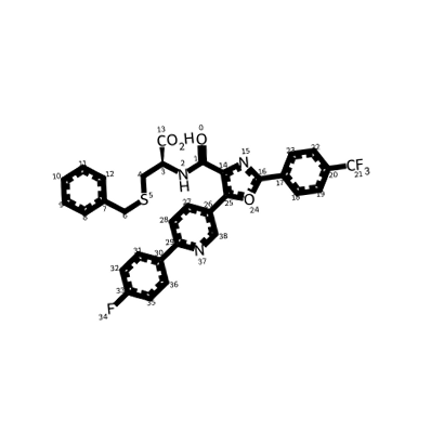 O=C(N[C@@H](CSCc1ccccc1)C(=O)O)c1nc(-c2ccc(C(F)(F)F)cc2)oc1-c1ccc(-c2ccc(F)cc2)nc1